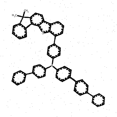 CC1(C)c2ccccc2-c2c1ccc1c2sc2c(-c3ccc(N(c4ccc(-c5ccccc5)cc4)c4ccc(-c5ccc(-c6ccccc6)cc5)cc4)cc3)cccc21